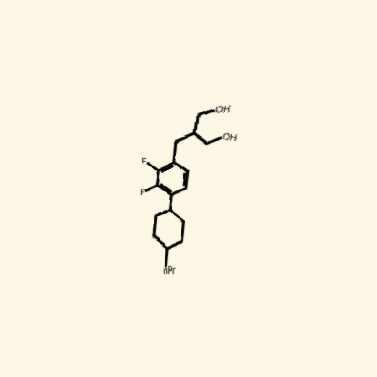 CCCC1CCC(c2ccc(CC(CO)CO)c(F)c2F)CC1